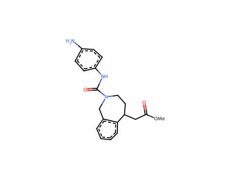 COC(=O)CC1CCN(C(=O)Nc2ccc(N)cc2)Cc2ccccc21